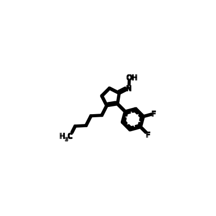 CCCCCC1=C(c2ccc(F)c(F)c2)C(=NO)CC1